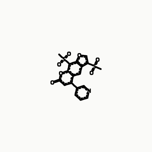 CS(=O)(=O)c1coc2c(S(C)(=O)=O)c3oc(=O)cc(-c4cccnc4)c3cc12